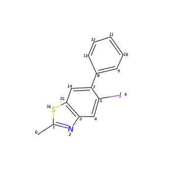 Cc1nc2cc(I)c(-c3ccccc3)cc2s1